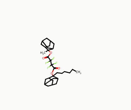 CCCCCCC1(OC(=O)C(F)(F)C(F)(F)C(=O)OC2(C)C3CC4CC(C3)CC2C4)C2CC3CC(C2)CC1C3